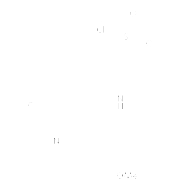 COc1ccnc(-c2c(Cl)ccc3c(S(=O)(=O)Cl)c[nH]c23)c1